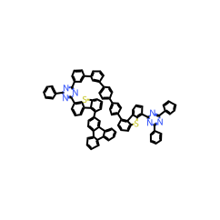 c1ccc(-c2nc(-c3ccccc3)nc(-c3cccc4c3sc3cccc(-c5ccc(-c6ccc(-c7cccc(-c8cccc(-c9nc(-c%10ccccc%10)nc(-c%10cccc%11c%10sc%10cccc(-c%12ccc%13c%14ccccc%14c%14ccccc%14c%13c%12)c%10%11)n9)c8)c7)cc6)cc5)c34)n2)cc1